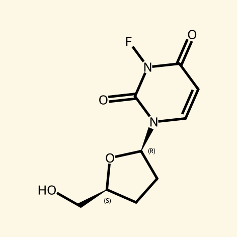 O=c1ccn([C@H]2CC[C@@H](CO)O2)c(=O)n1F